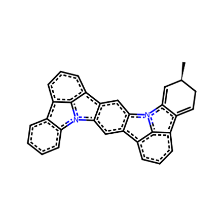 C[C@@H]1C=c2c(c3cccc4c5cc6c(cc5n2c34)c2cccc3c4ccccc4n6c32)=CC1